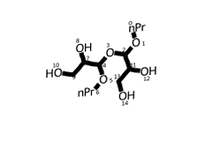 CCCOC(OC(OCCC)C(O)CO)C(O)CO